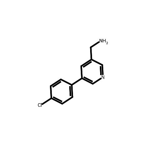 NCc1cncc(-c2ccc(Cl)cc2)c1